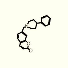 O=c1ccc2ccc(CN3CCC(c4ccccc4)CC3)cc2o1